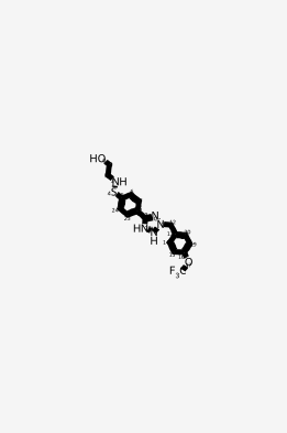 OCCNSc1ccc(C2=NN(Cc3ccc(OC(F)(F)F)cc3)NN2)cc1